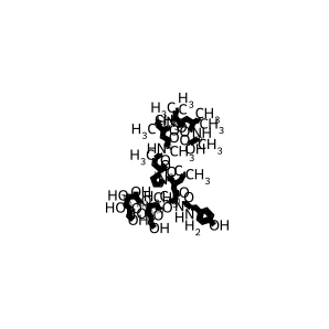 CC(C)CC(CC(=O)[C@@H](NC(=O)C(N)Cc1ccc(O)cc1)C(C)O[C@H]1OC(CO)[C@H](O)[C@H](O[C@@H]2OC(CO)[C@H](O)[C@H](O)C2O)C1C)C(=O)N1CCC[C@H]1C(=O)CC(C)C(=O)N[C@@H](C)C(=O)CC(C(=O)N[C@H](C(=O)CC(C(=O)N[C@@H](C)C(=O)O)C(C)C)C(C)C)C(C)C